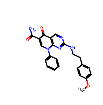 COc1ccc(CCNc2ncc3c(=O)c(C(N)=O)cn(-c4ccccc4)c3n2)cc1